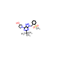 CC(C)(C)c1nc(N2CC[C@H](O)C2)c2nnn(Cc3ccccc3S(C)(=O)=O)c2n1